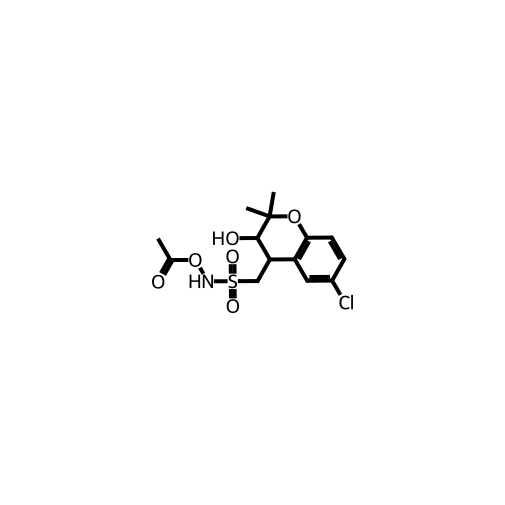 CC(=O)ONS(=O)(=O)CC1c2cc(Cl)ccc2OC(C)(C)C1O